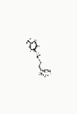 CC(=CCCOc1ccc(Br)cc1)C(=O)O